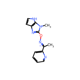 C/C(=N\Oc1nc2cc[nH]c2n1C)c1ccccn1